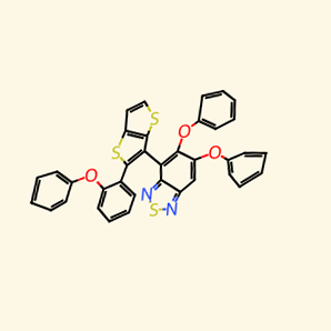 c1ccc(Oc2ccccc2-c2sc3ccsc3c2-c2c(Oc3ccccc3)c(Oc3ccccc3)cc3nsnc23)cc1